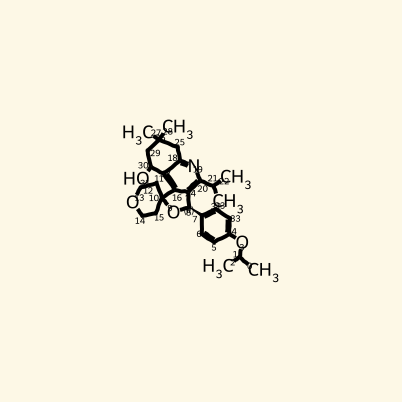 CC(C)Oc1ccc([C@H]2OC3(CCOCC3)c3c4c(nc(C(C)C)c32)CC(C)(C)CC4O)cc1